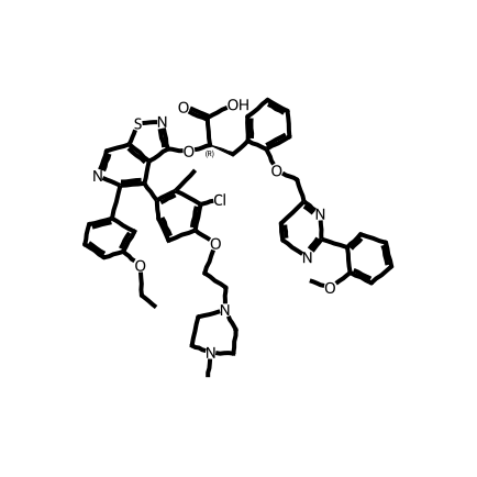 CCOc1cccc(-c2ncc3snc(O[C@H](Cc4ccccc4OCc4ccnc(-c5ccccc5OC)n4)C(=O)O)c3c2-c2ccc(OCCN3CCN(C)CC3)c(Cl)c2C)c1